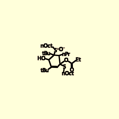 CCCCCCCCSC1(OC(=O)CC)C=C(C(C)(C)C)C(O)C([S+]([O-])CCCCCCCC)(C(C)(C)C)C1CCC